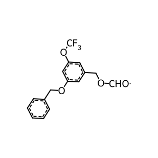 O=[C]OCc1cc(OCc2ccccc2)cc(OC(F)(F)F)c1